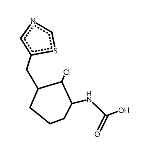 O=C(O)NC1CCCC(Cc2cncs2)C1Cl